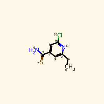 CCc1cc(C(N)=S)cc(Cl)n1